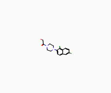 O=C(CO)N1CCN(c2ccc3cc(Br)ccc3c2F)CC1